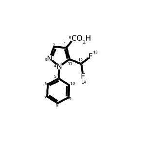 O=C(O)c1cnn(-c2ccccc2)c1C(F)F